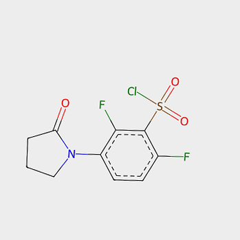 O=C1CCCN1c1ccc(F)c(S(=O)(=O)Cl)c1F